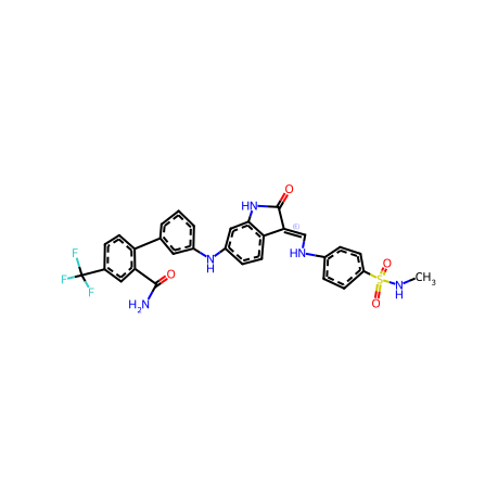 CNS(=O)(=O)c1ccc(N/C=C2/C(=O)Nc3cc(Nc4cccc(-c5ccc(C(F)(F)F)cc5C(N)=O)c4)ccc32)cc1